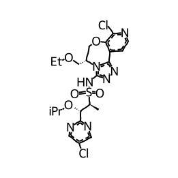 CCOC[C@@H]1COc2c(ccnc2Cl)-c2nnc(NS(=O)(=O)[C@@H](C)[C@@H](OC(C)C)c3ncc(Cl)cn3)n21